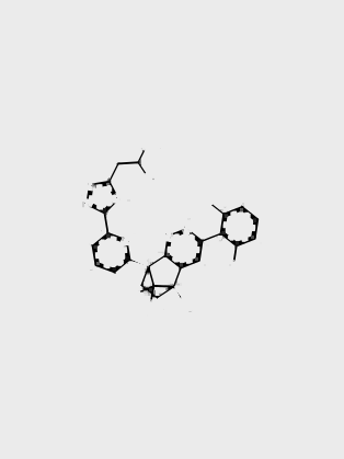 CC(O)Cc1n[nH]c(-c2cccc([C@@]34CC[C@@H](c5cc(-c6c(F)cccc6F)nnc53)C4(C)C)n2)n1